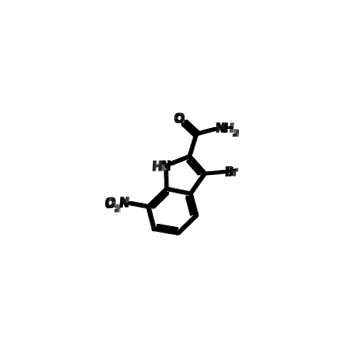 NC(=O)c1[nH]c2c([N+](=O)[O-])cccc2c1Br